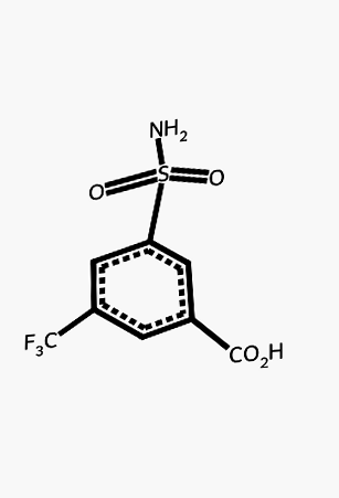 NS(=O)(=O)c1cc(C(=O)O)cc(C(F)(F)F)c1